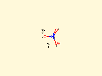 O=[N+]([O-])O.[Y].[Zr]